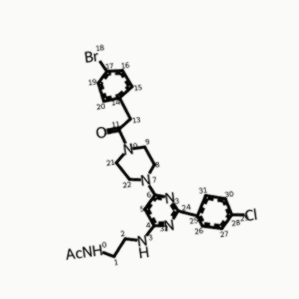 CC(=O)NCCNc1cc(N2CCN(C(=O)Cc3ccc(Br)cc3)CC2)nc(-c2ccc(Cl)cc2)n1